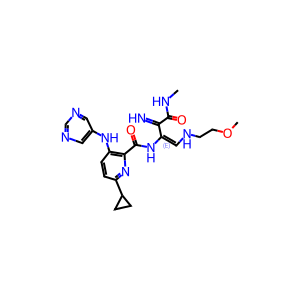 CNC(=O)C(=N)/C(=C\NCCOC)NC(=O)c1nc(C2CC2)ccc1Nc1cncnc1